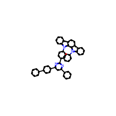 c1ccc(-c2ccc(-c3cc(-c4ccccc4)nc(-c4ccc(-n5c6ccccc6c6ccc7c8ccccc8n(-c8ccccc8)c7c65)cc4)n3)cc2)cc1